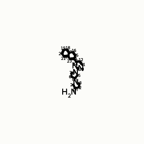 N[C@H]1CCN([C@@H]2CCN(c3nccc(-c4ccc5ccccc5c4)n3)C2)C1